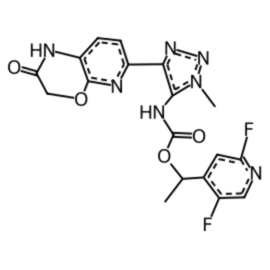 CC(OC(=O)Nc1c(-c2ccc3c(n2)OCC(=O)N3)nnn1C)c1cc(F)ncc1F